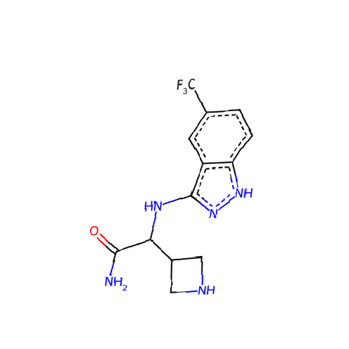 NC(=O)C(Nc1n[nH]c2ccc(C(F)(F)F)cc12)C1CNC1